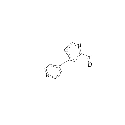 O=[C]c1cc(-c2ccncc2)ccn1